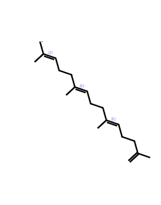 [CH2]/C(C)=C/CC/C(C)=C/CC/C(C)=C/CCC(=C)C